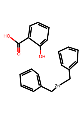 O=C(O)c1ccccc1O.c1ccc([CH2][Zn][CH2]c2ccccc2)cc1